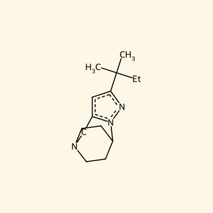 CCC(C)(C)c1cc2n(n1)C1CCN(CC1)C2